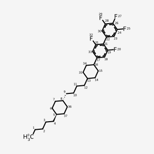 CCCCC[C@H]1CC[C@H](CCCCC2CCC(c3cc(F)c(-c4cc(F)c(F)c(F)c4)c(F)c3)CC2)CC1